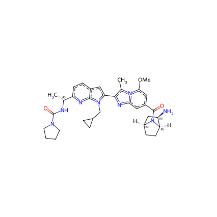 COc1cc(C(=O)N2[C@H]3CC[C@@H]2[C@H](N)C3)cc2nc(-c3cc4ccc([C@@H](C)NC(=O)N5CCCC5)nc4n3CC3CC3)c(C)n12